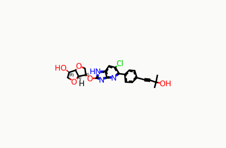 CC(C)(O)C#Cc1ccc(-c2nc3nc(O[C@@H]4COC5[C@H](O)CO[C@@H]54)[nH]c3cc2Cl)cc1